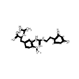 COc1ccc(CC(OC(C)C)C(=O)O)cc1NC(=O)OCCc1ccc(Cl)cc1Cl